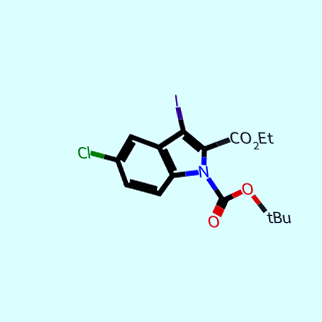 CCOC(=O)c1c(I)c2cc(Cl)ccc2n1C(=O)OC(C)(C)C